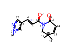 Cn1cc(/C=C/C(=O)N2CC(C)(C)C=CC2=O)cn1